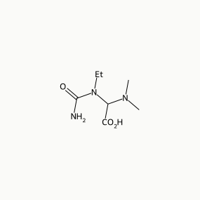 CCN(C(N)=O)C(C(=O)O)N(C)C